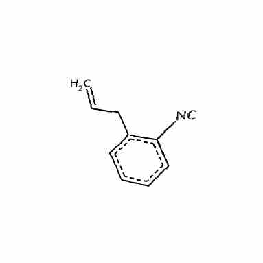 [C-]#[N+]c1ccccc1CC=C